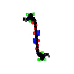 CN1Cc2c(Cl)cc(Cl)cc2C(c2ccc3c(c2Cl)SN(CCOCCOCCNC(=O)NCCCCNC(=O)NCCOCCOCCN2Cc4ccc(C5CN(C)Cc6c(Cl)cc(Cl)cc65)c(Cl)c4[S+]2[O-])C3)C1